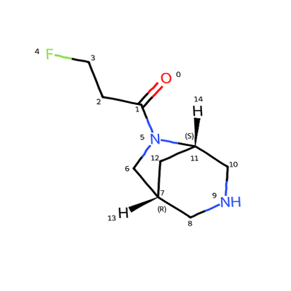 O=C(CCF)N1C[C@H]2CNC[C@@H]1C2